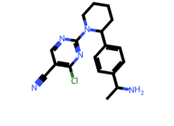 CC(N)c1ccc(C2CCCCN2c2ncc(C#N)c(Cl)n2)cc1